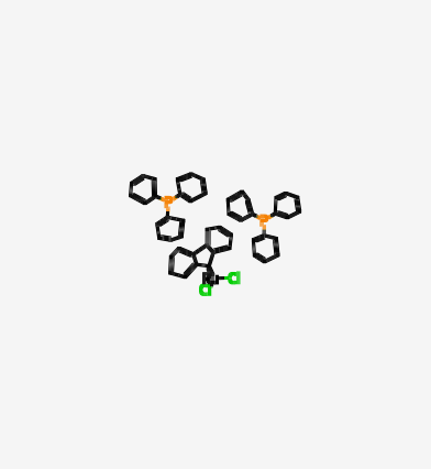 [Cl][Ru]([Cl])=[C]1c2ccccc2-c2ccccc21.c1ccc(P(c2ccccc2)c2ccccc2)cc1.c1ccc(P(c2ccccc2)c2ccccc2)cc1